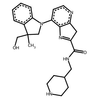 CC1(CO)CN(c2ccnc3c2N=C(C(=O)NCC2CCNCC2)C3)c2ccccc21